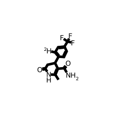 [2H]c1cc(C(F)(F)F)ccc1C1CC(=O)NC(C)=C1C(N)=O